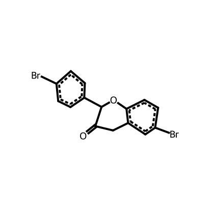 O=C1Cc2cc(Br)ccc2OC1c1ccc(Br)cc1